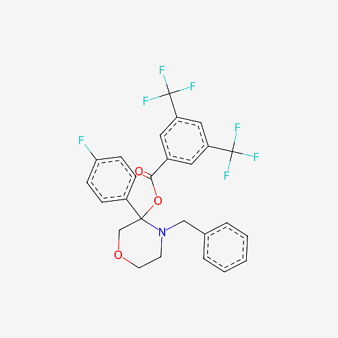 O=C(OC1(c2ccc(F)cc2)COCCN1Cc1ccccc1)c1cc(C(F)(F)F)cc(C(F)(F)F)c1